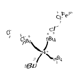 CCCC[N+](CCCC)(CCCC)CCCC.[Cl-].[Cl-].[Cl-].[Cl-].[Fe+3]